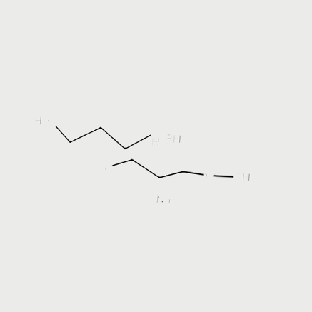 B.CCCCC.CCCCC[O-].[Na+]